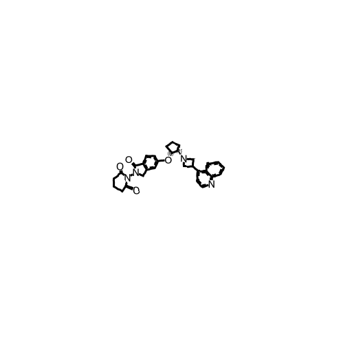 O=C1c2ccc(O[C@@H]3CCC[C@H]3N3CC(c4ccnc5ccccc45)C3)cc2CN1N1C(=O)CCCC1=O